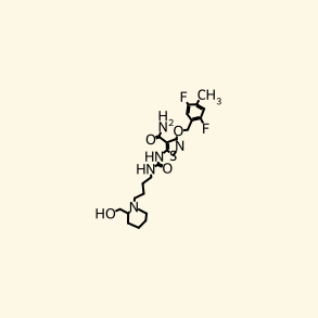 Cc1cc(F)c(COc2nsc(NC(=O)NCCCCN3CCCCC3CO)c2C(N)=O)cc1F